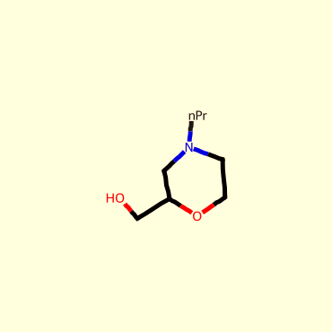 CCCN1CCOC(CO)C1